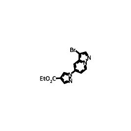 CCOC(=O)c1cnn(-c2ccn3ncc(Br)c3c2)c1